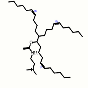 C=C(NCCN(C)C)OC(CCC/C=C\CCCCC)C(CCC/C=C\CCCCC)CCC/C=C\CCCCC